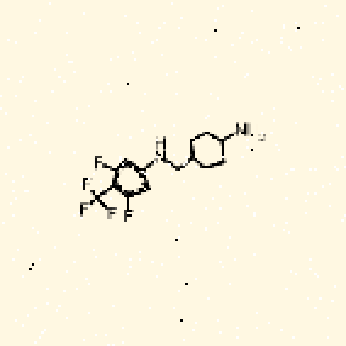 NC1CCC(CNc2cc(F)c(C(F)(F)F)c(F)c2)CC1